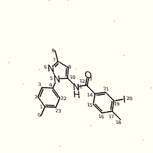 Cc1ccc(-n2nc(C)cc2NC(=O)c2ccc(C)c(I)c2)cc1